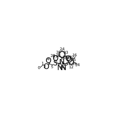 CCOC(=O)CSc1nnc(-c2cc(C)c(C)o2)n1-c1c(OC)cccc1OC